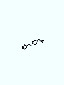 c1ccc(CNC2CCN(CC3CC3)CC2)cc1